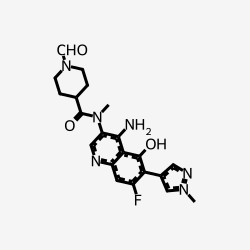 CN(C(=O)C1CCN(C=O)CC1)c1cnc2cc(F)c(-c3cnn(C)c3)c(O)c2c1N